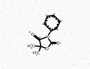 CC1(C)OC(=O)N(c2ccccc2)C1=O